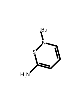 CC(C)(C)N1C=CC=C(N)S1